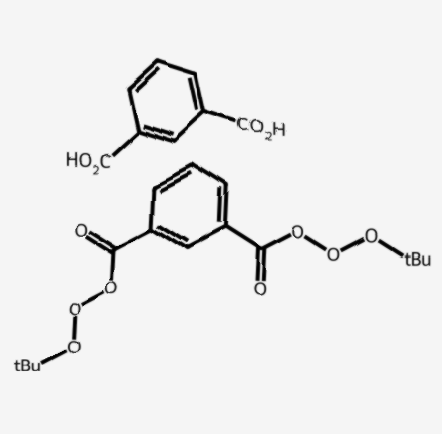 CC(C)(C)OOOC(=O)c1cccc(C(=O)OOOC(C)(C)C)c1.O=C(O)c1cccc(C(=O)O)c1